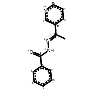 C/C(=N\NC(=O)c1ccccc1)c1cccnc1